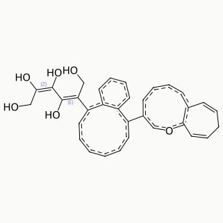 OC/C(O)=C(O)\C(O)=C(/CO)c1ccccccc(-c2ccccc3c(oc2)C=CCC=C3)c2ccccc12